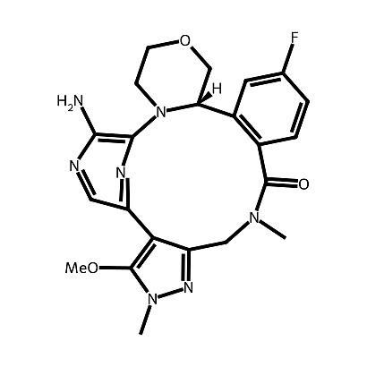 COc1c2c(nn1C)CN(C)C(=O)c1ccc(F)cc1[C@H]1COCCN1c1nc-2cnc1N